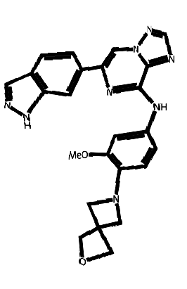 COc1cc(Nc2nc(-c3ccc4cn[nH]c4c3)cn3ncnc23)ccc1N1CC2(COC2)C1